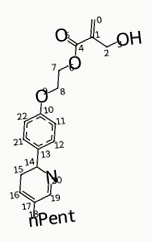 C=C(CO)C(=O)OCCOc1ccc(C2CC=C(CCCCC)C=N2)cc1